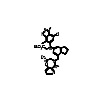 CCOC(=O)C[C@H](c1cc2c(c(CN3C[C@@H](CC)Oc4cccnc4[C@@H]3C)c1)CCC2)c1cc(Cl)c2c(nnn2C)c1C